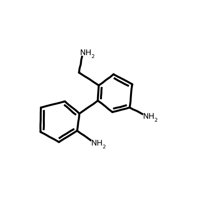 NCc1ccc(N)cc1-c1ccccc1N